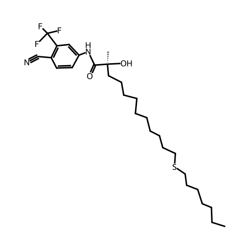 CCCCCCCSCCCCCCCCCC[C@](C)(O)C(=O)Nc1ccc(C#N)c(C(F)(F)F)c1